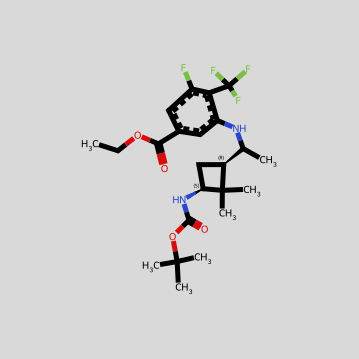 CCOC(=O)c1cc(F)c(C(F)(F)F)c(NC(C)[C@@H]2C[C@H](NC(=O)OC(C)(C)C)C2(C)C)c1